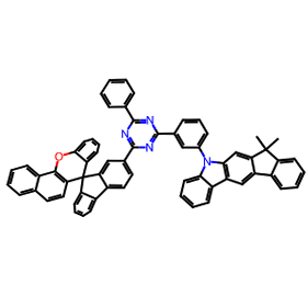 CC1(C)c2ccccc2-c2cc3c4ccccc4n(-c4cccc(-c5nc(-c6ccccc6)nc(-c6ccc7c(c6)C6(c8ccccc8Oc8c6ccc6ccccc86)c6ccccc6-7)n5)c4)c3cc21